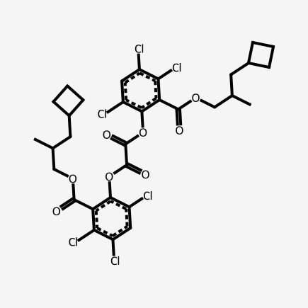 CC(COC(=O)c1c(Cl)c(Cl)cc(Cl)c1OC(=O)C(=O)Oc1c(Cl)cc(Cl)c(Cl)c1C(=O)OCC(C)CC1CCC1)CC1CCC1